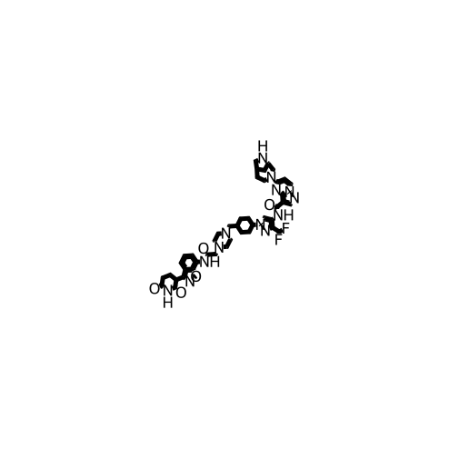 O=C1CCC(c2noc3c(NC(=O)CN4CCN(CC5CCC(n6cc(NC(=O)c7cnn8ccc(N9CCC%10CNC(C%10)C9)nc78)c(C(F)F)n6)CC5)CC4)cccc23)C(=O)N1